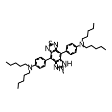 CCCCCN(CCCCC)c1ccc(-c2c3nsnc3c(-c3ccc(N(CCCCC)CCCCC)cc3)c3[nH][n+](C)nc23)cc1